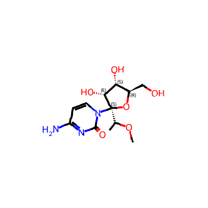 COC(C)[C@@]1(n2ccc(N)nc2=O)O[C@H](CO)[C@@H](O)[C@H]1O